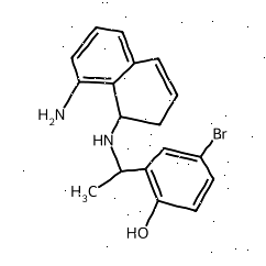 CC(NC1CC=Cc2cccc(N)c21)c1cc(Br)ccc1O